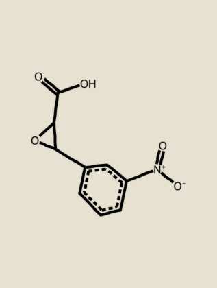 O=C(O)C1OC1c1cccc([N+](=O)[O-])c1